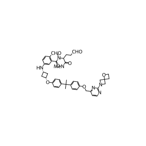 CNC(=O)C(CCC=O)N(C)C(=O)c1cc(N[C@H]2C[C@@H](Oc3ccc(C(C)(C)c4ccc(OCc5ccnc(N6CC7(CCO7)C6)n5)cc4)cc3)C2)ccc1C=O